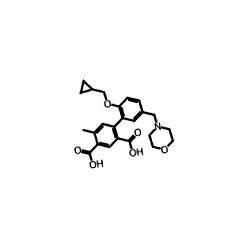 Cc1cc(-c2cc(CN3CCOCC3)ccc2OCC2CC2)c(C(=O)O)cc1C(=O)O